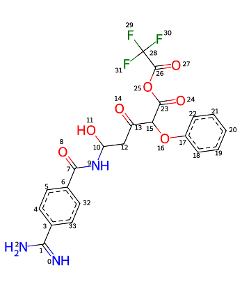 N=C(N)c1ccc(C(=O)NC(O)CC(=O)C(Oc2ccccc2)C(=O)OC(=O)C(F)(F)F)cc1